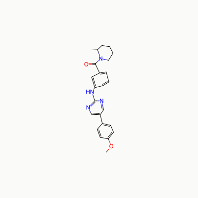 COc1ccc(-c2cnc(Nc3cccc(C(=O)N4CCCCC4C)c3)nc2)cc1